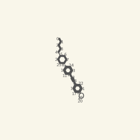 CCCCC[C@H]1CC[C@H](c2ccc(C#Cc3ccc(OC)cc3)cc2)CC1